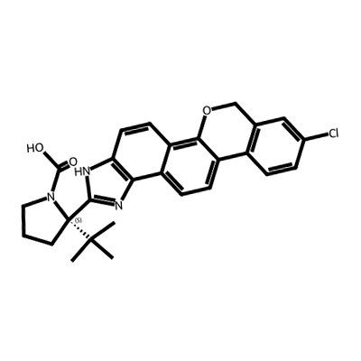 CC(C)(C)[C@]1(c2nc3c(ccc4c5c(ccc43)-c3ccc(Cl)cc3CO5)[nH]2)CCCN1C(=O)O